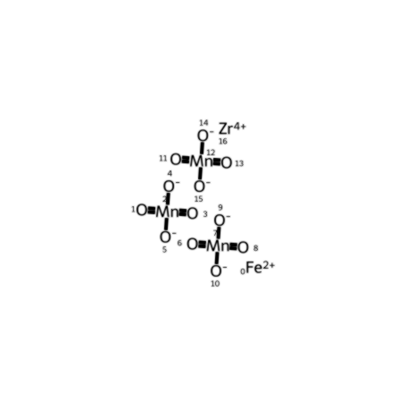 [Fe+2].[O]=[Mn](=[O])([O-])[O-].[O]=[Mn](=[O])([O-])[O-].[O]=[Mn](=[O])([O-])[O-].[Zr+4]